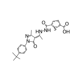 CC1=NN(c2ccc(C(C)(C)C)cc2)C(=O)C1=C(C)NNC(=O)c1ccc(C(=O)O)s1